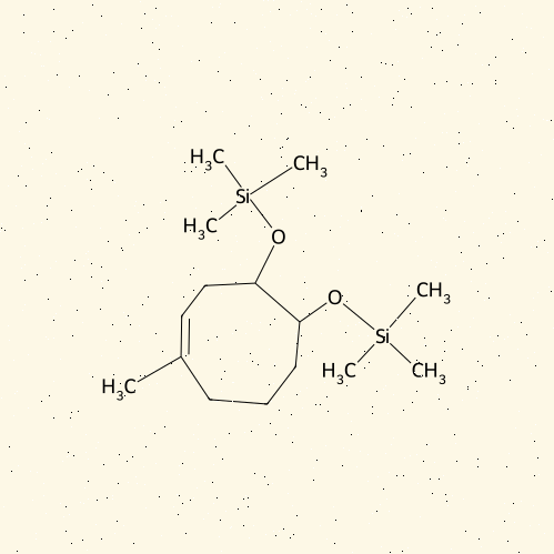 CC1=CCC(O[Si](C)(C)C)C(O[Si](C)(C)C)CCC1